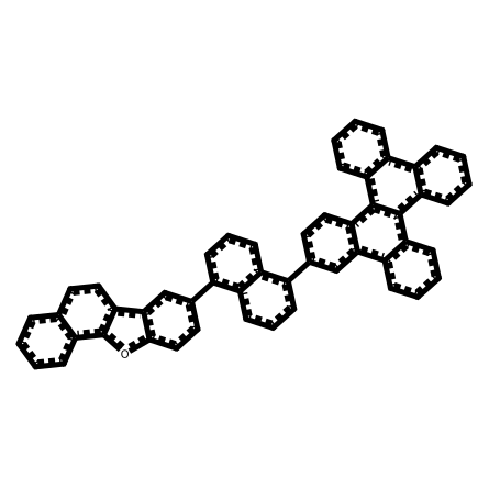 c1ccc2c(c1)ccc1c3cc(-c4cccc5c(-c6ccc7c(c6)c6ccccc6c6c8ccccc8c8ccccc8c76)cccc45)ccc3oc21